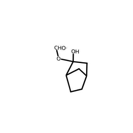 O=[C]OC1(O)CC2CCC1C2